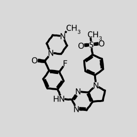 CN1CCN(C(=O)c2ccc(Nc3ncc4c(n3)N(c3ccc(S(C)(=O)=O)cc3)CC4)cc2F)CC1